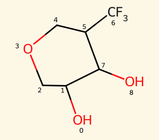 OC1COCC(C(F)(F)F)C1O